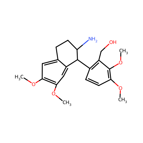 COc1cc2c(cc1OC)C(c1ccc(OC)c(OC)c1CO)C(N)CC2